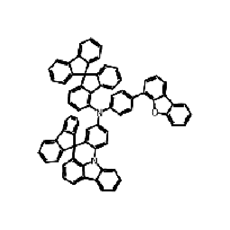 c1ccc2c(c1)-c1ccccc1C21c2ccccc2-c2c(N(c3ccc(-c4cccc5c4oc4ccccc45)cc3)c3ccc4c(c3)C3(c5ccccc5-c5ccccc53)c3cccc5c6ccccc6n-4c35)cccc21